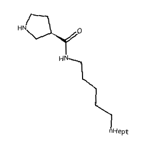 CCCCCCCCCCCCNC(=O)[C@@H]1CCNC1